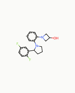 OC1CN(c2cc[c]cc2N2CCCC2c2cc(F)ccc2F)C1